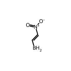 B/C=C/[N+](=O)[O-]